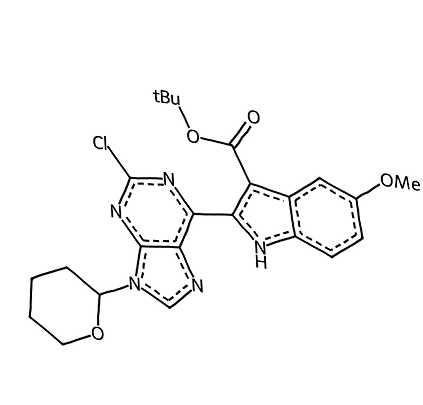 COc1ccc2[nH]c(-c3nc(Cl)nc4c3ncn4C3CCCCO3)c(C(=O)OC(C)(C)C)c2c1